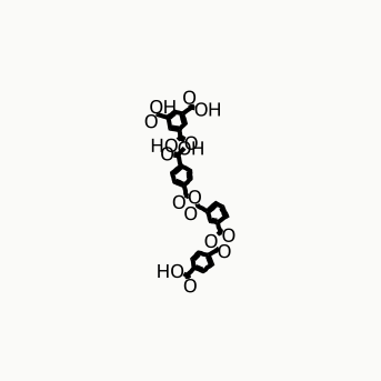 O=C(O)c1cc(C(=O)O)cc(C(=O)O)c1.O=C(O)c1ccc(C(=O)OC(=O)c2cccc(C(=O)OC(=O)c3ccc(C(=O)O)cc3)c2)cc1